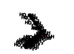 CC(C)C[C@H](N)C(=O)O.CC(C)[C@H](N)C(=O)O.CSCC[C@H](N)C(=O)O.C[C@@H](O)[C@H](N)C(=O)O.N=C(N)NCCC[C@H](N)C(=O)O.NC(=O)CC[C@H](N)C(=O)O.NCC(=O)O.NCC(=O)O.NCCCC[C@H](N)C(=O)O.NCCCC[C@H](N)C(=O)O.NCCCC[C@H](N)C(=O)O.N[C@@H](CCC(=O)O)C(=O)O.N[C@@H](CO)C(=O)O.N[C@@H](CS)C(=O)O.N[C@@H](Cc1c[nH]cn1)C(=O)O